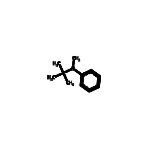 CN(c1ccccc1)[Si](C)(C)C